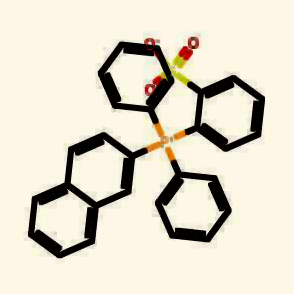 O=S(=O)([O-])c1ccccc1[P+](c1ccccc1)(c1ccccc1)c1ccc2ccccc2c1